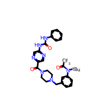 CC(C)(C)N(C(=O)C(F)(F)F)c1cccc(CN2CCN(C(=O)c3cnc(NC(=O)Nc4ccccc4)cn3)CC2)c1